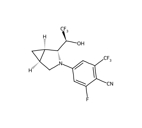 N#Cc1c(F)cc(N2C[C@H]3C[C@H]3[C@@H]2[C@H](O)C(F)(F)F)cc1C(F)(F)F